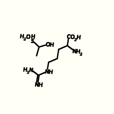 CC(O)S.N=C(N)NCCCC(N)C(=O)O.O